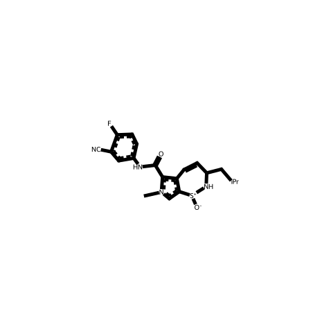 CC(C)CC1C=Cc2c(cn(C)c2C(=O)Nc2ccc(F)c(C#N)c2)[S+]([O-])N1